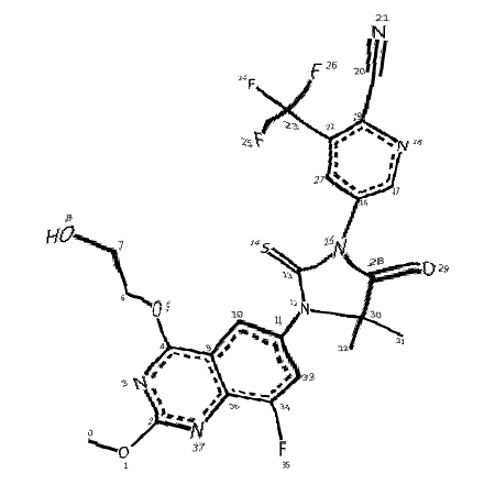 COc1nc(OCCO)c2cc(N3C(=S)N(c4cnc(C#N)c(C(F)(F)F)c4)C(=O)C3(C)C)cc(F)c2n1